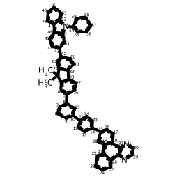 CC1(C)c2cc(-c3cccc(-c4ccc(-c5ccc6c(c5)c5ccccc5c5nccnc65)cc4)c3)ccc2-c2ccc(-c3ccc4c5ccccc5n(-c5ccccc5)c4c3)cc21